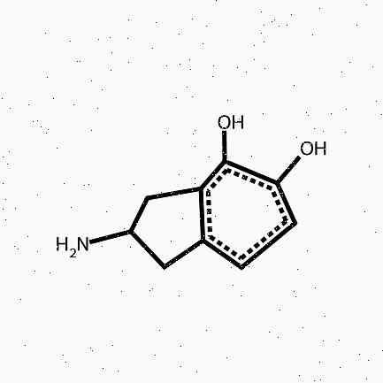 NC1Cc2ccc(O)c(O)c2C1